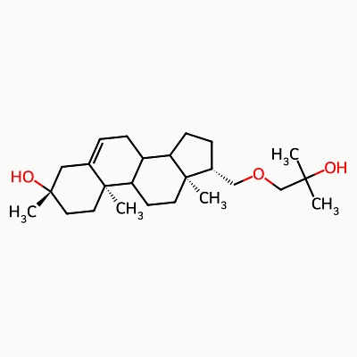 CC(C)(O)COC[C@H]1CCC2C3CC=C4C[C@@](C)(O)CC[C@]4(C)C3CC[C@@]21C